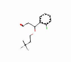 CC(C)(C)CCOC(CC=O)c1ccccc1Cl